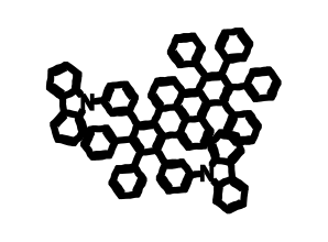 c1ccc(-c2c(-c3ccccc3)c(-c3ccccc3)c3c4cccc5c6c(-c7cccc(-n8c9ccccc9c9ccccc98)c7)c(-c7ccccc7)c(-c7ccccc7)c(-c7cccc(-n8c9ccccc9c9ccccc98)c7)c6c6cccc(c3c2-c2ccccc2)c6c45)cc1